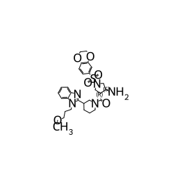 COCCCn1c(C2CCCN(C(=O)[C@@H]3CN(S(=O)(=O)c4ccc5c(c4)OCCO5)C[C@H]3N)C2)nc2ccccc21